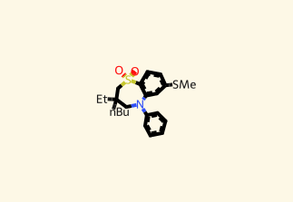 CCCCC1(CC)CN(c2ccccc2)c2cc(SC)ccc2S(=O)(=O)C1